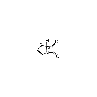 O=C1C(=O)N2C=CS[C@@H]12